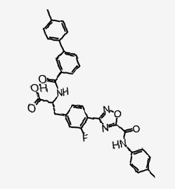 Cc1ccc(NC(=O)c2nc(-c3ccc(CC(NC(=O)c4cccc(-c5ccc(C)cc5)c4)C(=O)O)cc3F)no2)cc1